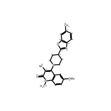 COc1ccc2c(c1)c(N1CCC(c3nc4ccc(C)cc4o3)CC1)c(C#N)c(=O)n2C